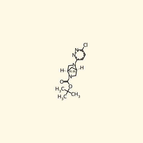 CC(C)(C)OC(=O)N1C[C@H]2C[C@@H]1CN2c1ccc(Cl)nn1